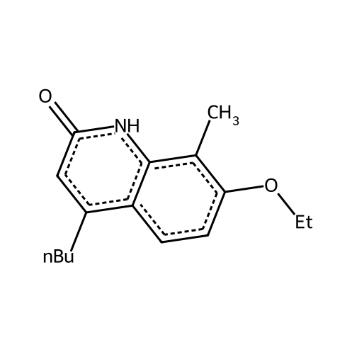 CCCCc1cc(=O)[nH]c2c(C)c(OCC)ccc12